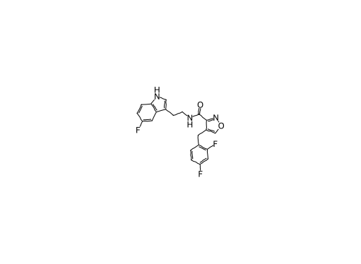 O=C(NCCc1c[nH]c2ccc(F)cc12)c1nocc1Cc1ccc(F)cc1F